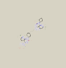 C[C@H](O)CNc1nc(=O)n(-c2ccc(C[C@@H](O)CNc3nc(=O)n(-c4ccccc4Cl)c4nc(C(F)(F)F)ccc34)cc2Cl)c2nc(C(F)(F)F)ccc12